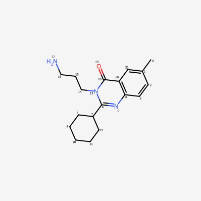 Cc1ccc2nc(C3CCCCC3)n(CCCN)c(=O)c2c1